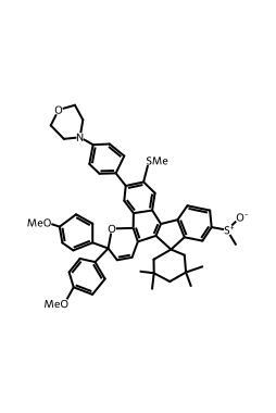 COc1ccc(C2(c3ccc(OC)cc3)C=Cc3c4c(c5cc(SC)c(-c6ccc(N7CCOCC7)cc6)cc5c3O2)-c2ccc([S+](C)[O-])cc2C42CC(C)(C)CC(C)(C)C2)cc1